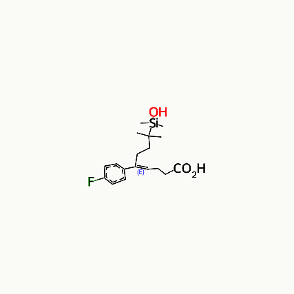 CC(C)(CC/C(=C\CCC(=O)O)c1ccc(F)cc1)[Si](C)(C)O